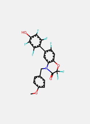 COc1ccc(CN2C(=O)C(F)(F)Oc3cc(F)c(-c4c(F)c(F)c(O)c(F)c4F)cc32)cc1